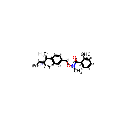 CC(C)/C=C(\C(C)C)C(C)c1ccc(CON(C)C(=O)c2ccccc2C=O)cc1